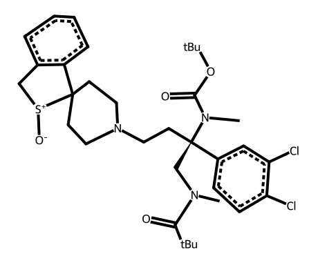 CN(C[C@](CCN1CCC2(CC1)c1ccccc1C[S+]2[O-])(c1ccc(Cl)c(Cl)c1)N(C)C(=O)OC(C)(C)C)C(=O)C(C)(C)C